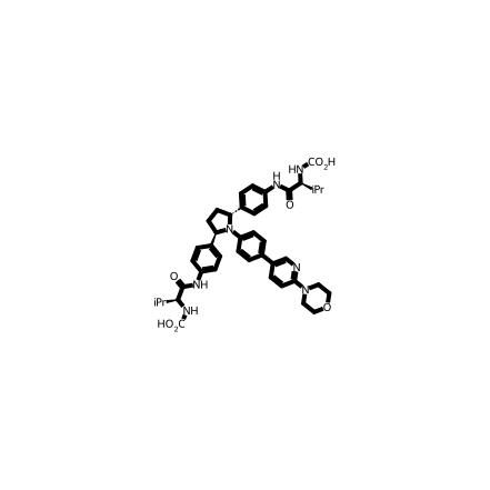 CC(C)[C@H](NC(=O)O)C(=O)Nc1ccc([C@H]2CC[C@H](c3ccc(NC(=O)[C@@H](NC(=O)O)C(C)C)cc3)N2c2ccc(-c3ccc(N4CCOCC4)nc3)cc2)cc1